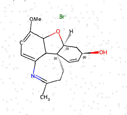 COC1=[C+]C=C2N=C(C)CC[C@@]34C=C[C@H](O)C[C@@H]3OC1C24.[Br-]